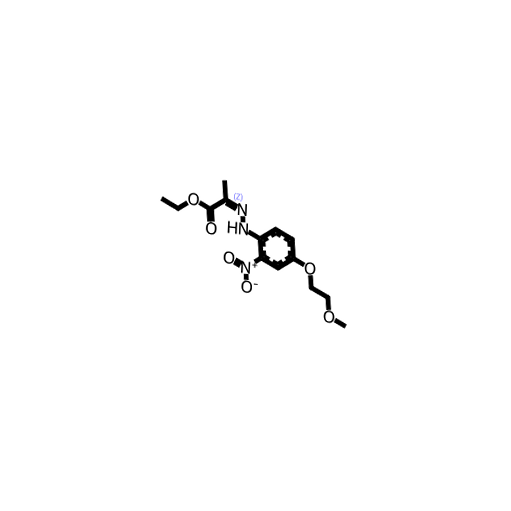 CCOC(=O)/C(C)=N\Nc1ccc(OCCOC)cc1[N+](=O)[O-]